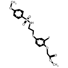 COC(=O)COc1ccc(SCCNS(=O)(=O)c2ccc(OC)cc2)cc1F